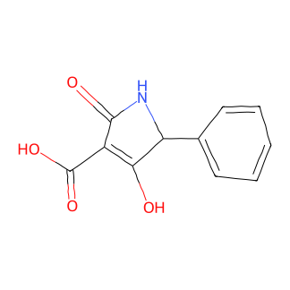 O=C(O)C1=C(O)C(c2ccccc2)NC1=O